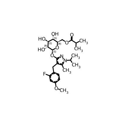 COc1ccc(Cc2c(O[C@@H]3O[C@H](COC(=O)C(C)C)[C@@H](O)[C@H](O)[C@H]3O)nn(C(C)C)c2C)c(F)c1